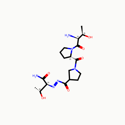 C[C@@H](O)[C@H](N)C(=O)N1CCC[C@H]1C(=O)N1CCC(C(=O)N=N[C@H](C(N)=O)[C@@H](C)O)C1